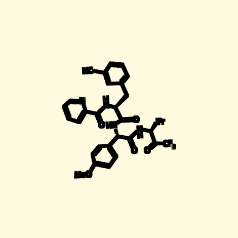 COc1ccc([C@H](NC(=O)[C@H](Cc2cccc(C#N)c2)NC(=O)c2ccccn2)C(=O)N[C@H](C(=O)C(F)(F)F)C(C)C)cc1